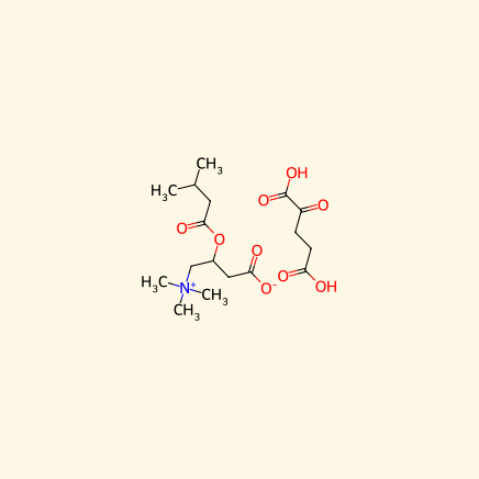 CC(C)CC(=O)OC(CC(=O)[O-])C[N+](C)(C)C.O=C(O)CCC(=O)C(=O)O